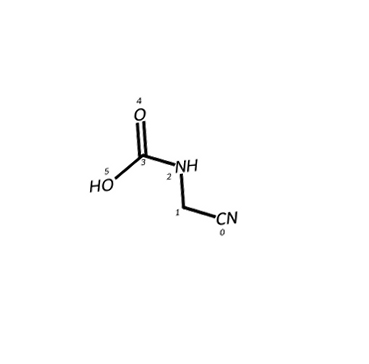 N#CCNC(=O)O